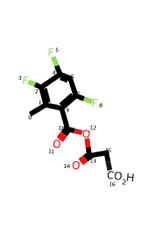 Cc1c(F)c(F)cc(F)c1C(=O)OC(=O)CC(=O)O